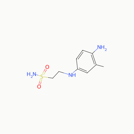 Cc1cc(NCCS(N)(=O)=O)ccc1N